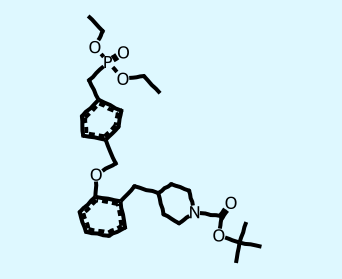 CCOP(=O)(Cc1ccc(COc2ccccc2CC2CCN(C(=O)OC(C)(C)C)CC2)cc1)OCC